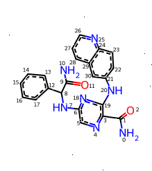 NC(=O)c1ncc(NC(C(N)=O)c2ccccc2)nc1Nc1ccc2ncccc2c1